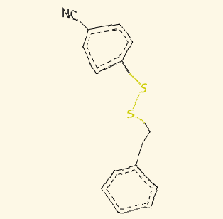 N#Cc1ccc(SSCc2ccccc2)cc1